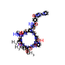 CNC(=O)C[C@@H]1NC(=O)c2csc(n2)-c2ccc(-c3nc(NC(=O)[C@H]4CC[C@H](C(=O)N5CCN(CCN6CCCCC6)CC5)CC4)cs3)nc2-c2csc(n2)-c2csc(n2)[C@H]([C@@H](O)c2ccccc2)NC(=O)CNC(=O)c2nc(sc2COC)[C@H](C(C)C)NC(=O)c2nc1sc2C